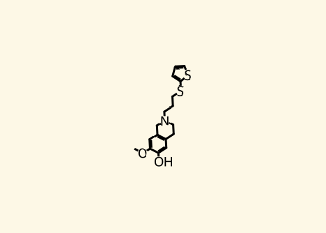 COc1cc2c(cc1O)CCN(CCCSc1cccs1)C2